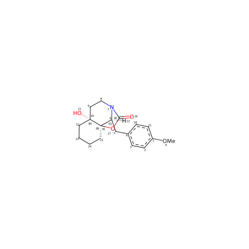 COc1ccc(C[C@@H]2N3CC[C@]4(O)CCCC[C@@]24OC3=O)cc1